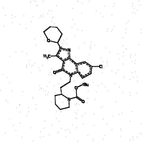 Cc1c2c(=O)n(CCC3CCCCN3C(=O)OC(C)(C)C)c3ccc(Cl)cc3c2nn1C1CCCCO1